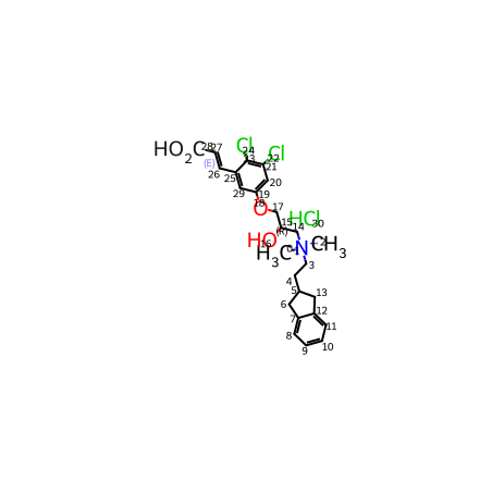 C[N+](C)(CCC1Cc2ccccc2C1)C[C@@H](O)COc1cc(Cl)c(Cl)c(/C=C/C(=O)O)c1.Cl